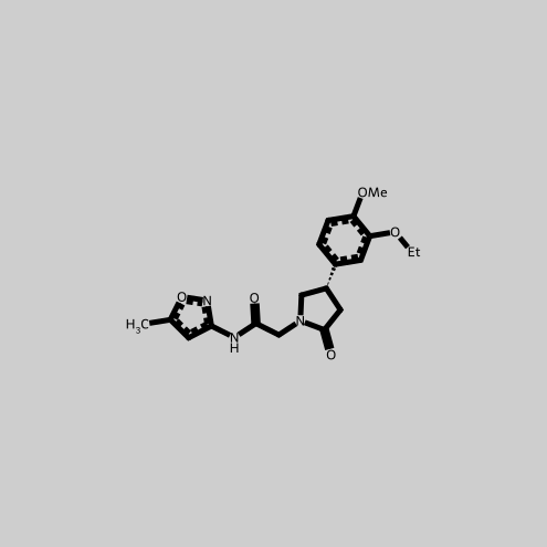 CCOc1cc([C@@H]2CC(=O)N(CC(=O)Nc3cc(C)on3)C2)ccc1OC